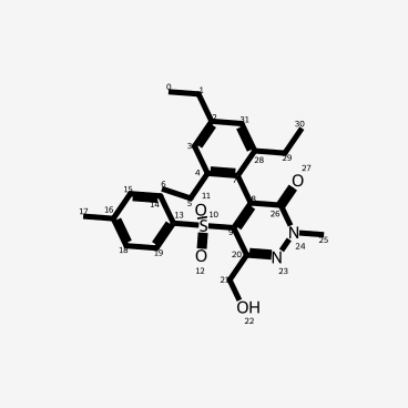 CCc1cc(CC)c(-c2c(S(=O)(=O)c3ccc(C)cc3)c(CO)nn(C)c2=O)c(CC)c1